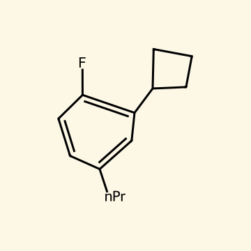 CCCc1ccc(F)c(C2CCC2)c1